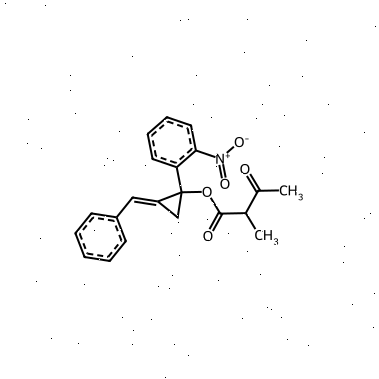 CC(=O)C(C)C(=O)OC1(c2ccccc2[N+](=O)[O-])CC1=Cc1ccccc1